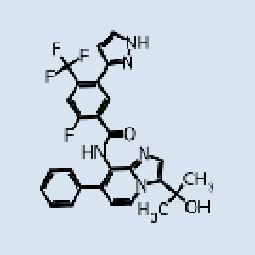 CC(C)(O)c1cnc2c(NC(=O)c3cc(-c4cc[nH]n4)c(C(F)(F)F)cc3F)c(-c3ccccc3)ccn12